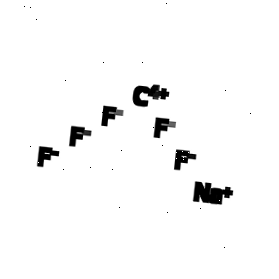 [C+4].[F-].[F-].[F-].[F-].[F-].[Na+]